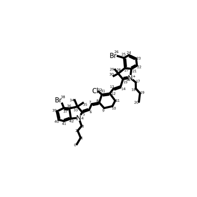 CCCCN1/C(=C/C=C2\CCCC(/C=C/C3=[N+](CCCC)c4cccc(Br)c4C3(C)C)=C2Cl)C(C)(C)c2c(Br)cccc21